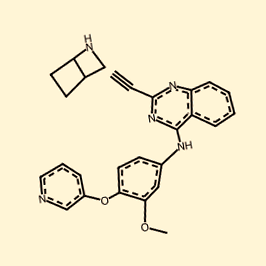 C#Cc1nc(Nc2ccc(Oc3cccnc3)c(OC)c2)c2ccccc2n1.C1CC2NCC12